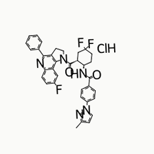 Cc1ccn(-c2ccc(C(=O)N[C@@H]3CCC(F)(F)C[C@@H]3C(=O)N3CCc4c(-c5ccccc5)nc5ccc(F)cc5c43)cc2)n1.Cl